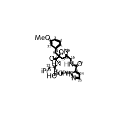 COc1cccc(CC2(C(=O)N[C@@H](CC(C)C)B(O)O)CC(CNC(=O)c3ccnn3C(C)C)=NO2)c1